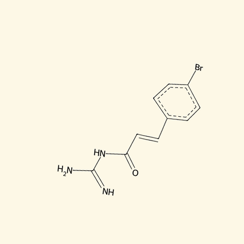 N=C(N)NC(=O)/C=C/c1ccc(Br)cc1